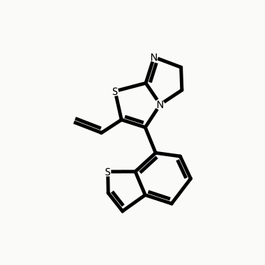 C=CC1=C(c2cccc3ccsc23)N2CCN=C2S1